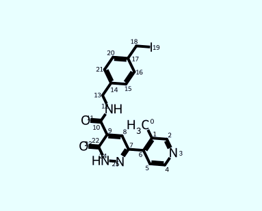 Cc1cnccc1-c1cc(C(=O)NCc2ccc(CI)cc2)c(=O)[nH]n1